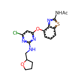 CC(=O)Nc1nc2c(Oc3cc(Cl)nc(NCC4CCCO4)n3)cccc2s1